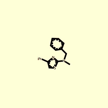 CC(C)c1csc(N(C)Cc2ccccc2)n1